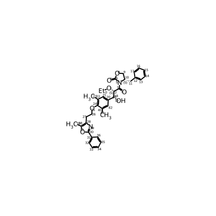 CCO[C@H](C(=O)N1C(=O)OC[C@@H]1Cc1ccccc1)[C@H](O)c1cc(C)c(OCCc2nc(-c3ccccc3)oc2C)c(C)c1